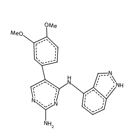 COc1ccc(-c2cnc(N)nc2Nc2cccc3[nH]ncc23)cc1OC